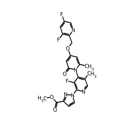 COC(=O)c1ccn(-c2ncc(C)c(-n3c(C)cc(OCc4ncc(F)cc4F)cc3=O)c2F)n1